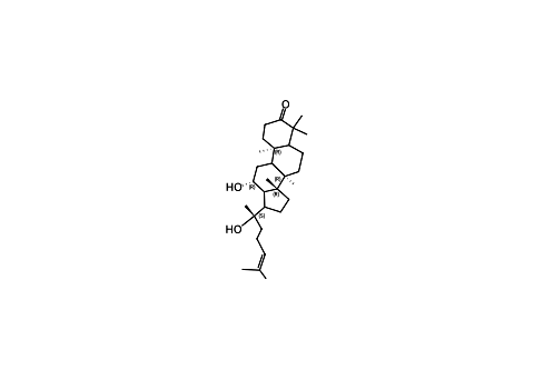 CC(C)=CCC[C@](C)(O)C1CC[C@]2(C)C1[C@H](O)CC1[C@@]3(C)CCC(=O)C(C)(C)C3CC[C@]12C